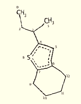 CCC(C)c1cc2c(s1)CCCC2